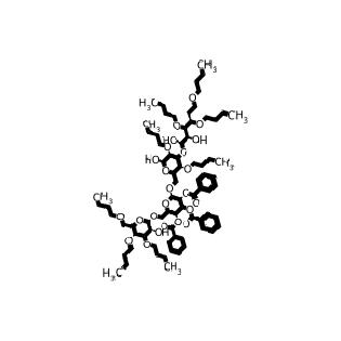 CCCCOCC[C@@H](OCCCC)C(OCCCC)[C@@H](O)[C@H](O)OC1[C@H](OCCCC)C(CO[C@H]2OC(CO[C@H]3OC(COCCCC)[C@@H](OCCCC)C(OCCCC)[C@H]3O)[C@@H](OC(=O)c3ccccc3)C(OC(=O)c3ccccc3)[C@H]2OC(=O)c2ccccc2)O[C@@H](O)[C@@H]1OCCCC